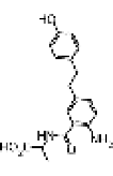 CC(NC(=O)c1cc(CCc2ccc(O)cc2)ccc1N)C(=O)O